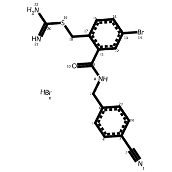 Br.N#Cc1ccc(CNC(=O)c2cc(Br)ccc2CSC(=N)N)cc1